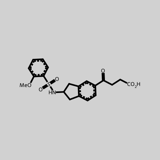 COc1ccccc1S(=O)(=O)NC1Cc2ccc(C(=O)CCC(=O)O)cc2C1